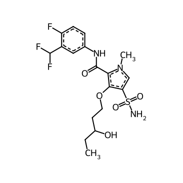 CCC(O)CCOc1c(S(N)(=O)=O)cn(C)c1C(=O)Nc1ccc(F)c(C(F)F)c1